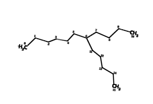 [CH2]CCCCCC(CCCC)CCCCC